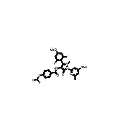 COc1cc(C)nc(-n2c(=O)c(NC(=O)c3ccc(OC(F)F)cc3)c(-c3c(F)cc(OC)cc3F)n2C)c1